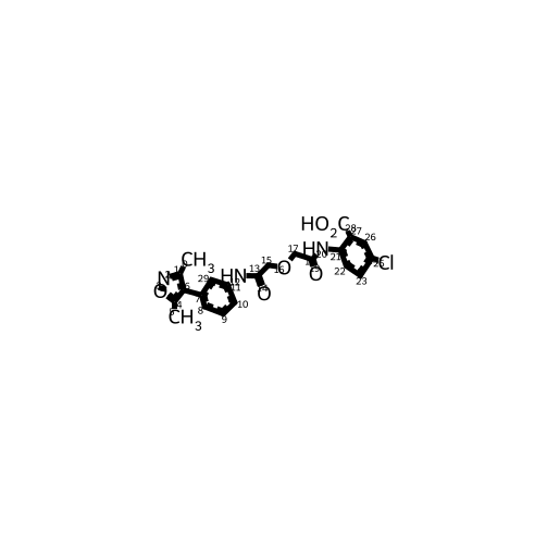 Cc1noc(C)c1-c1cccc(NC(=O)COCC(=O)Nc2ccc(Cl)cc2C(=O)O)c1